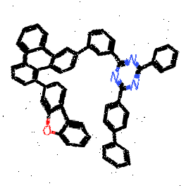 c1ccc(-c2ccc(-c3nc(-c4ccccc4)nc(-c4cccc(-c5ccc6c(c5)c5ccccc5c5cccc(-c7ccc8c(c7)oc7ccccc78)c56)c4)n3)cc2)cc1